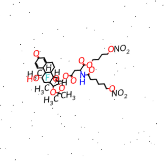 CC1(C)O[C@@H]2C[C@H]3[C@@H]4CCC5=CC(=O)C=C[C@]5(C)[C@@]4(F)[C@@H](O)C[C@]3(C)[C@]2(C(=O)COC(=O)CC(NC(=O)CCCCCO[N+](=O)[O-])C(=O)OCCCCO[N+](=O)[O-])O1